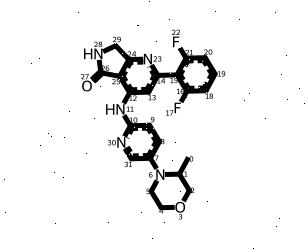 CC1COCCN1c1ccc(Nc2cc(-c3c(F)cccc3F)nc3c2C(=O)NC3)nc1